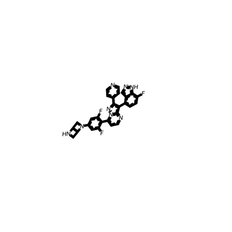 Fc1cc(N2CC3NCC32)cc(F)c1-c1ccnc2c(-c3ccc(F)c4[nH]ncc34)c(-c3ccncc3)nn12